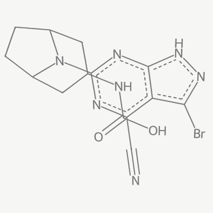 N#Cc1nc(N2C3CCC2CC(NC(=O)O)C3)nc2[nH]nc(Br)c12